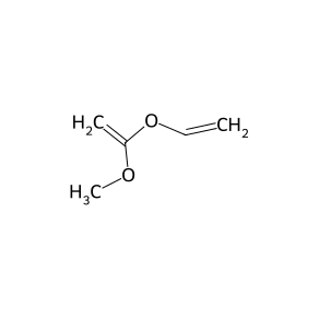 C=COC(=C)OC